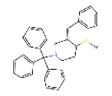 CC(=O)SC1CCN(C(c2ccccc2)(c2ccccc2)c2ccccc2)C/C1=C/c1ccccc1